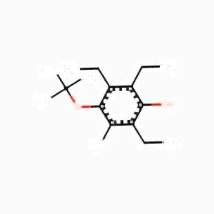 CCc1c(C)c(OC(C)(C)C)c(CC)c(CC)c1O